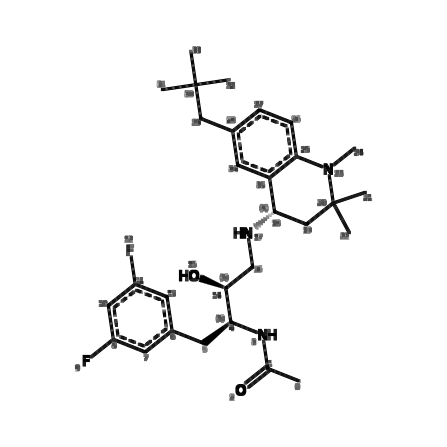 CC(=O)N[C@@H](Cc1cc(F)cc(F)c1)[C@@H](O)CN[C@H]1CC(C)(C)N(C)c2ccc(CC(C)(C)C)cc21